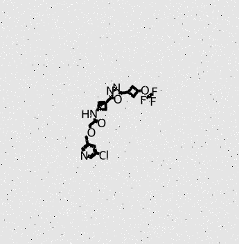 O=C(COCc1cncc(Cl)c1)NC12CC(c3nnc(C4CC(OC(F)(F)F)C4)o3)(C1)C2